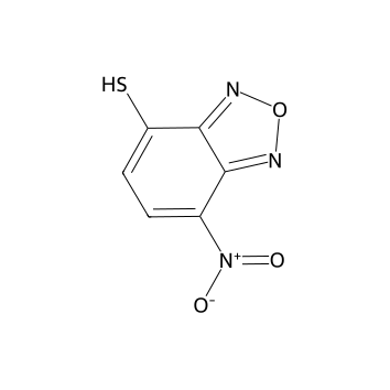 O=[N+]([O-])c1ccc(S)c2nonc12